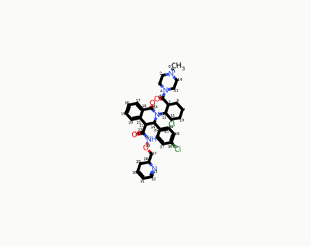 CN1CCN(C(=O)C2CCCCC2N2C(=O)c3ccccc3C(C(=O)NOCC3CC=CC=N3)C2c2ccc(Cl)cc2Cl)CC1